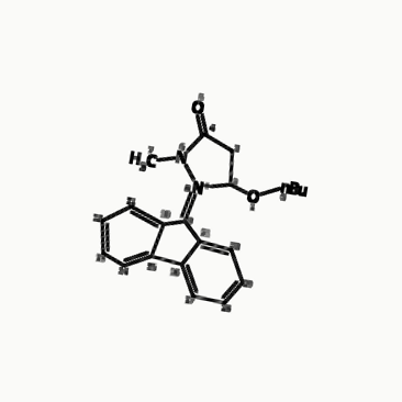 CCCCOC1CC(=O)N(C)[N+]1=C1c2ccccc2-c2ccccc21